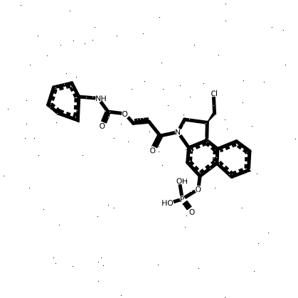 O=C(Nc1ccccc1)OC=CC(=O)N1C[C@@H](CCl)c2c1cc(OP(=O)(O)O)c1ccccc21